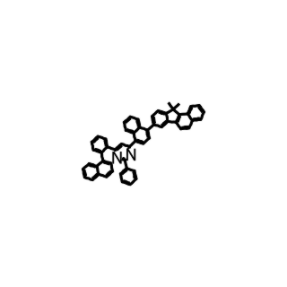 CC1(C)c2ccc(-c3ccc(-c4cc(-c5ccccc5-c5cccc6ccccc56)nc(-c5ccccc5)n4)c4ccccc34)cc2-c2ccc3ccccc3c21